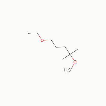 CCOCCCC(C)(C)O[SiH3]